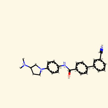 CN(C)C1CCN(c2ccc(NC(=O)c3ccc(-c4cccc(C#N)c4)cc3)cc2)C1